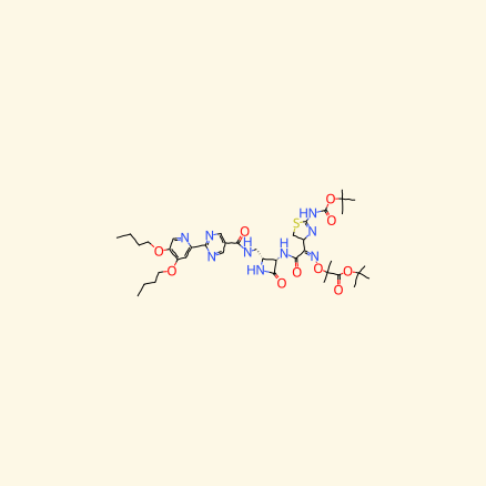 CCCCOc1cnc(-c2ncc(C(=O)NC[C@H]3NC(=O)[C@H]3NC(=O)/C(=N\OC(C)(C)C(=O)OC(C)(C)C)C3CSC(NC(=O)OC(C)(C)C)=N3)cn2)cc1OCCCC